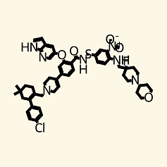 CC1(C)CCC(CN2CC=C(c3ccc(C(=O)NSc4ccc(NCC5(F)CCN(C6CCOCC6)CC5)c([N+](=O)[O-])c4)c(Oc4cnc5[nH]ccc5c4)c3)CC2)=C(c2ccc(Cl)cc2)C1